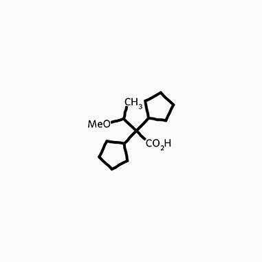 COC(C)C(C(=O)O)(C1CCCC1)C1CCCC1